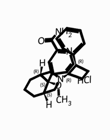 CO[C@]1(c2ccnc(C(N)=O)c2)[C@@H]2CCC[C@H]1CN([C@@H]1CC[C@@H]1c1ccccc1)C2.Cl